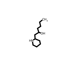 CCCCC(O)CC1CCCCN1